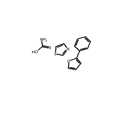 NC(O)=S.c1ccc(-c2ccco2)cc1.c1cscn1